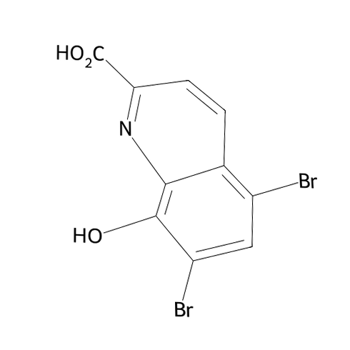 O=C(O)c1ccc2c(Br)cc(Br)c(O)c2n1